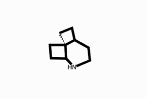 C1CC2CC[C@]23CCC3N1